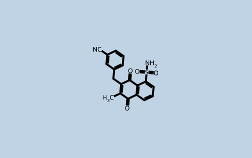 CC1=C(Cc2cccc(C#N)c2)C(=O)c2c(cccc2S(N)(=O)=O)C1=O